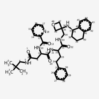 CC(C)(C)CNC(=O)CC(NC(=O)c1ccccn1)C(=O)NC(CCc1ccccc1)C(=O)NCC1(N[C@@H]2CCCc3ccccc32)COC1